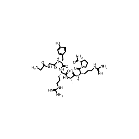 C[C@H](NC(=O)[C@H](CCCNC(=N)N)NC(=O)[C@H](Cc1ccc(O)cc1)NC(=O)CNC(=O)CN)C(=O)N[C@@H](CCCNC(=N)N)C(=O)N1CCC[C@H]1C(N)=O